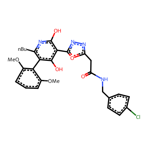 CCCCc1nc(O)c(-c2nnc(CC(=O)NCc3ccc(Cl)cc3)o2)c(O)c1-c1c(OC)cccc1OC